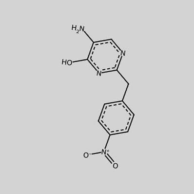 Nc1cnc(Cc2ccc([N+](=O)[O-])cc2)nc1O